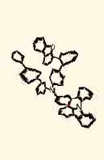 c1ccc(-c2ccc(-c3cccc(N(c4ccc(-c5ccccc5-c5cccc6c5oc5ccccc56)cc4)c4cccc(-c5ccccc5-n5c6ccccc6c6ccccc65)c4)c3)cc2)cc1